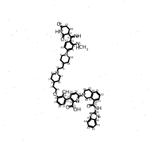 CNc1cc(N2CCC(CCN3CCC(CCOc4cccc(-c5ccc(N6CCc7cccc(C(=O)Nc8nc9ccccc9s8)c7C6)nc5C(=O)O)c4C)CC3)CC2)ccc1C(=N)C1CCC(=O)NC1=O